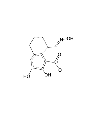 O=[N+]([O-])c1c(O)c(O)cc2c1C(C=NO)CCC2